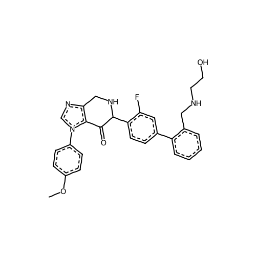 COc1ccc(-n2cnc3c2C(=O)C(c2ccc(-c4ccccc4CNCCO)cc2F)NC3)cc1